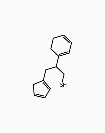 SCC(CC1=CC=CC1)C1=CC=CCC1